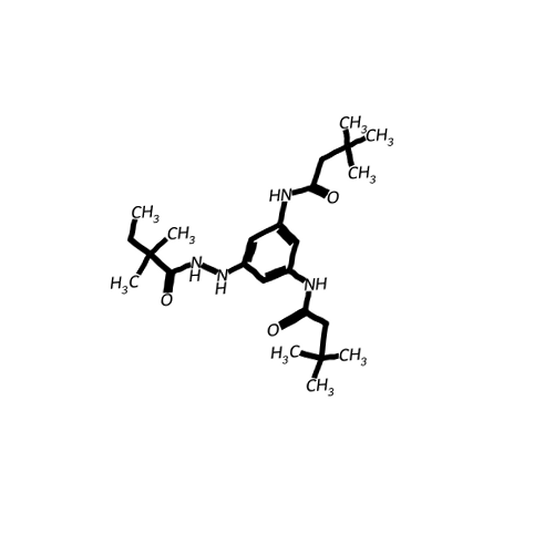 CCC(C)(C)C(=O)NNc1cc(NC(=O)CC(C)(C)C)cc(NC(=O)CC(C)(C)C)c1